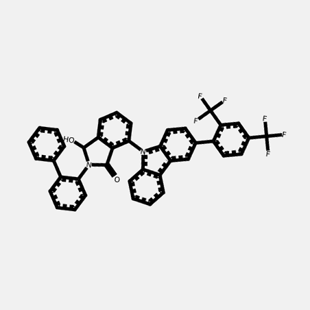 O=C1c2c(cccc2-n2c3ccccc3c3cc(-c4ccc(C(F)(F)F)cc4C(F)(F)F)ccc32)C(O)N1c1ccccc1-c1ccccc1